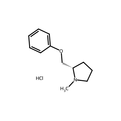 CN1CCC[C@H]1COc1ccccc1.Cl